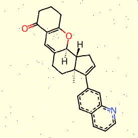 C[C@]12CCC3=CC4=C(CCCC4=O)O[C@H]3[C@@H]1CC=C2c1ccc2cccnc2c1